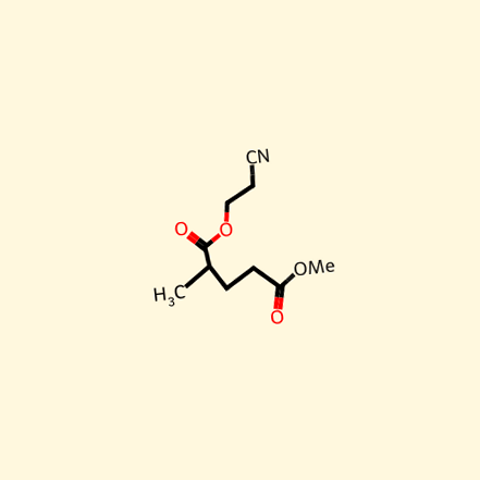 COC(=O)CCC(C)C(=O)OCCC#N